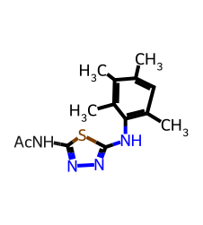 CC(=O)Nc1nnc(Nc2c(C)cc(C)c(C)c2C)s1